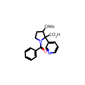 COC1CCN(C(=O)c2ccccc2)C1(C(=O)O)c1cccnc1